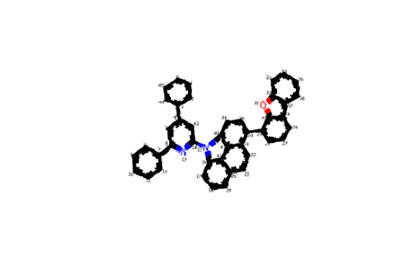 c1ccc(-c2cc(-c3ccccc3)nc(-n3c4cccc5ccc6c(-c7cccc8c7oc7ccccc78)ccc3c6c54)c2)cc1